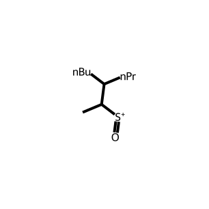 [CH2]CCC(CCCC)C(C)[S+]=O